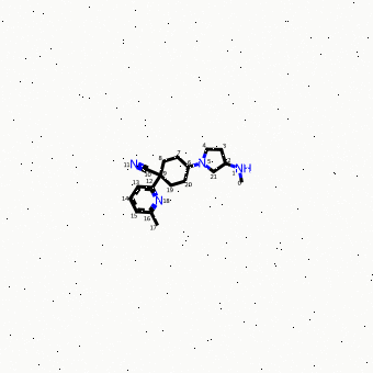 CNC1CCN(C2CCC(C#N)(c3cccc(C)n3)CC2)C1